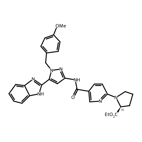 CCOC(=O)[C@@H]1CCCN1c1ccc(C(=O)Nc2cc(-c3nc4ccccc4[nH]3)n(Cc3ccc(OC)cc3)n2)cn1